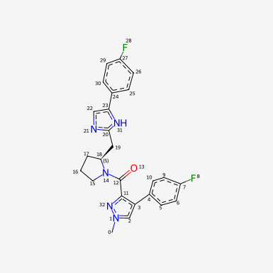 Cn1cc(-c2ccc(F)cc2)c(C(=O)N2CCC[C@H]2Cc2ncc(-c3ccc(F)cc3)[nH]2)n1